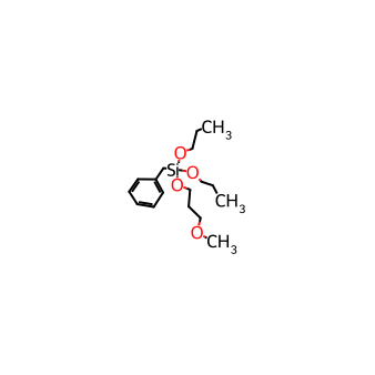 CCCO[Si](Cc1ccccc1)(OCCC)OCCCOC